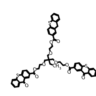 CCC(COCCOC(=O)c1ccc2c(c1)Cc1ccccc1S2)(COCCOC(=O)c1ccc2sc3ccccc3c(=O)c2c1)COCCOC(=O)c1ccc2sc3ccccc3c(=O)c2c1